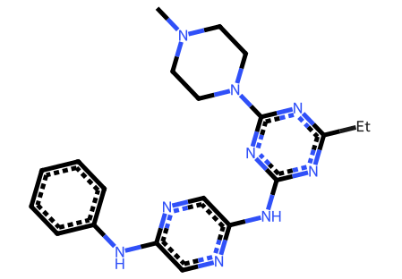 CCc1nc(Nc2cnc(Nc3ccccc3)cn2)nc(N2CCN(C)CC2)n1